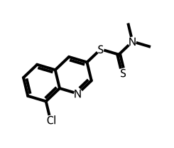 CN(C)C(=S)Sc1cnc2c(Cl)cccc2c1